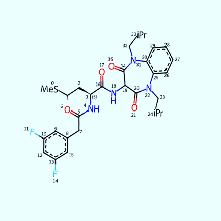 CSCC[C@H](NC(=O)Cc1cc(F)cc(F)c1)C(=O)NC1C(=O)N(CC(C)C)c2ccccc2N(CC(C)C)C1=O